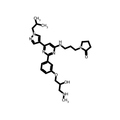 CNCC(O)COc1cccc(-c2nc(NCCCN3CCCC3=O)cc(-c3cnn(CC(C)C)c3)n2)c1